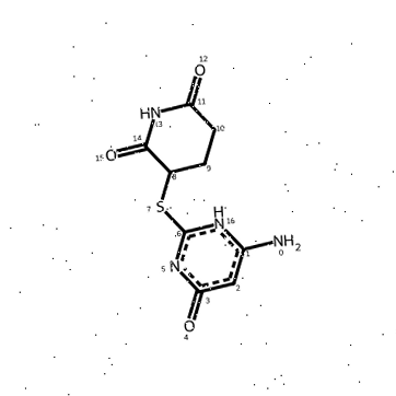 Nc1cc(=O)nc(SC2CCC(=O)NC2=O)[nH]1